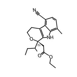 CCOC(=O)C[C@@]1(C(C)CC)OCCc2c1[nH]c1c(C)ccc(C#N)c21